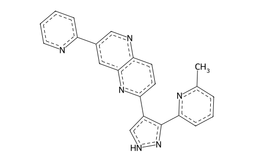 Cc1cccc(-c2n[nH]cc2-c2ccc3ncc(-c4ccccn4)cc3n2)n1